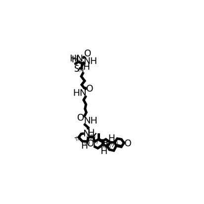 CC1=C2C[C@H]3[C@@H](CCC4=CC(=O)CC[C@@]43C)[C@@H]2CC[C@]12O[C@@H]1C[C@H](C)CN(CCNC(=O)CCCCCNC(=O)CCCC[C@@H]3SC[C@@H]4NC(=O)N[C@@H]43)[C@H]1[C@H]2C